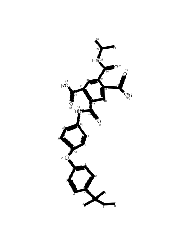 CCC(C)(C)c1ccc(Oc2ccc(NC(=O)c3cc(C(=O)O)c(C(=O)NC(C)C)cc3C(=O)O)cc2)cc1